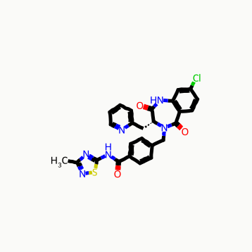 Cc1nsc(NC(=O)c2ccc(CN3C(=O)c4ccc(Cl)cc4NC(=O)[C@H]3Cc3ccccn3)cc2)n1